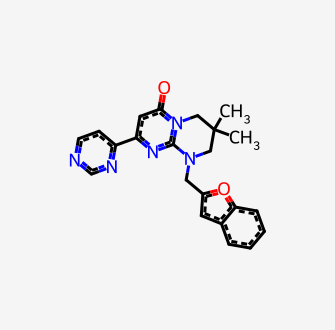 CC1(C)CN(Cc2cc3ccccc3o2)c2nc(-c3ccncn3)cc(=O)n2C1